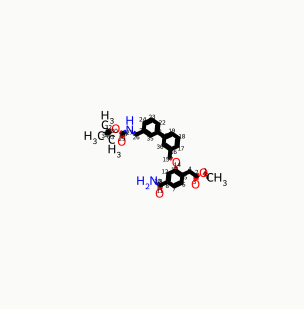 COC(=O)Cc1ccc(C(N)=O)cc1OCc1cccc(-c2cccc(CNC(=O)OC(C)(C)C)c2)c1